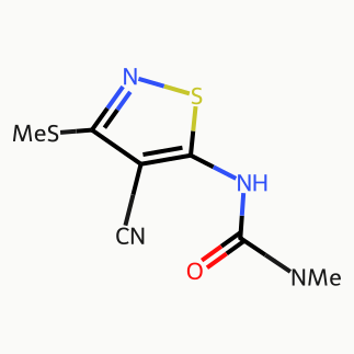 CNC(=O)Nc1snc(SC)c1C#N